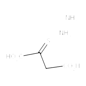 N.N.O=C(O)CC(=S)C(=O)O